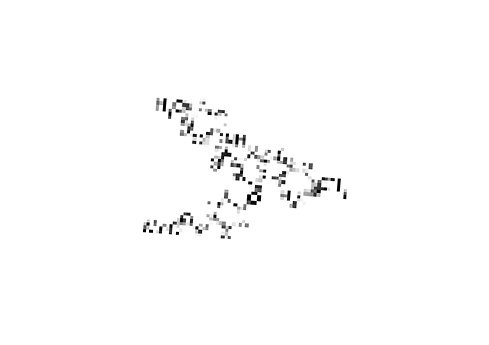 COOSc1ccc(Oc2cc(C(=O)Nc3ccc(C)cn3)cc3oc(CN(C)C)cc23)cc1